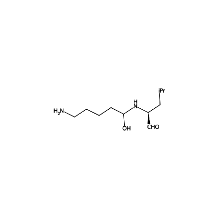 CC(C)C[C@@H](C=O)NC(O)CCCCN